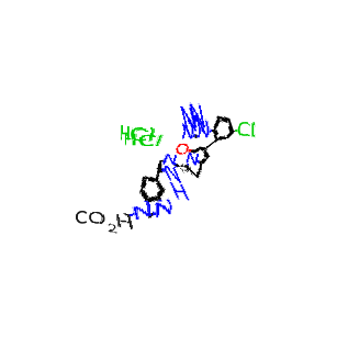 Cl.Cl.O=C(O)Cn1cnc2cc(-c3cnc([C@@H]4CCc5cc(-c6cc(Cl)ccc6-n6cnnn6)cc(=O)n54)[nH]3)ccc21